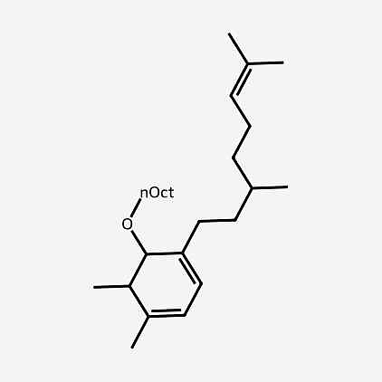 CCCCCCCCOC1C(CCC(C)CCC=C(C)C)=CC=C(C)C1C